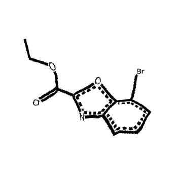 CCOC(=O)c1nc2cccc(Br)c2o1